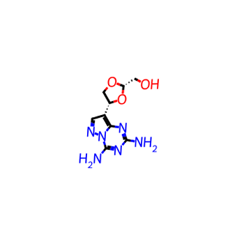 Nc1nc(N)n2ncc([C@@H]3CO[C@H](CO)O3)c2n1